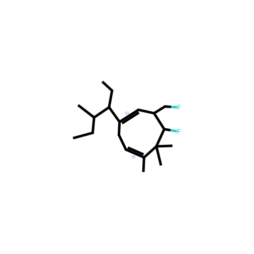 CCC(C)C(CC)/C1=C/C(CF)C(F)C(C)(C)/C(C)=C\C1